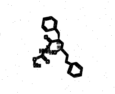 CC(C)(C)OC(=O)NNC(=O)[C@H](Cc1ccccc1)C[C@@H](O)CCc1ccccc1